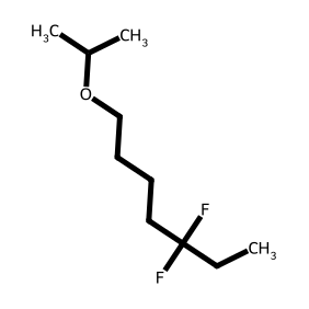 CCC(F)(F)CCCCOC(C)C